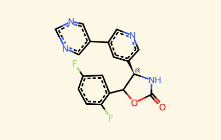 O=C1N[C@H](c2cncc(-c3cncnc3)c2)C(c2cc(F)ccc2F)O1